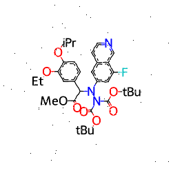 CCOc1cc(C(C(=O)OC)N(c2cc(F)c3cnccc3c2)N(C(=O)OC(C)(C)C)C(=O)OC(C)(C)C)ccc1OC(C)C